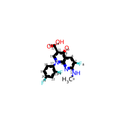 CNc1nc2c(cc1F)c(=O)c(C(=O)O)cn2-c1ccc(F)cc1F